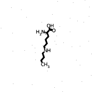 CCCCNCCCC[C@@H](N)C(=O)O